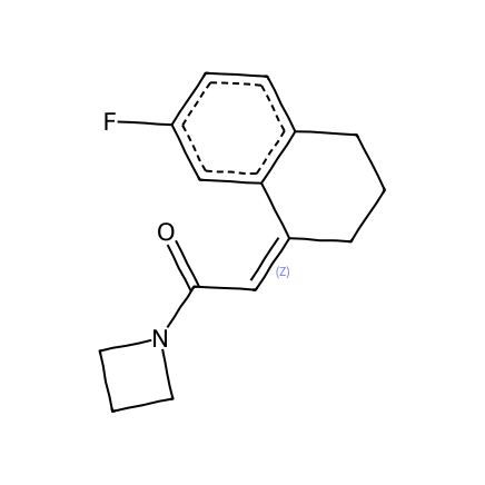 O=C(/C=C1/CCCc2ccc(F)cc21)N1CCC1